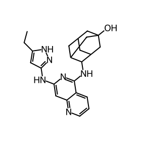 CCc1cc(Nc2cc3ncccc3c(NC3C4CC5CC3CC(O)(C5)C4)n2)n[nH]1